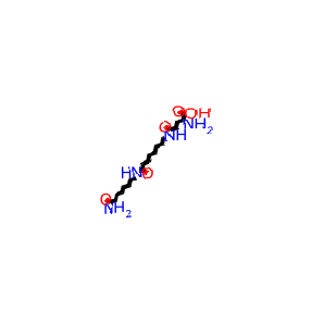 NC(=O)CCCCCCCNC(=O)CCCCCCCNC(=O)CCC(N)C(=O)O